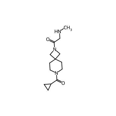 CNCC(=O)N1CC2(CCN(C(=O)C3CC3)CC2)C1